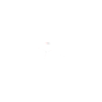 OB(O)O.[CaH2].[O]=[Y]